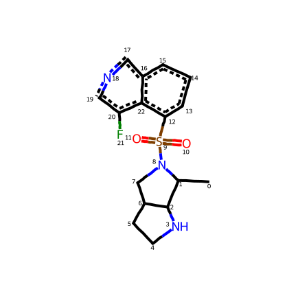 CC1C2NCCC2CN1S(=O)(=O)c1cccc2cncc(F)c12